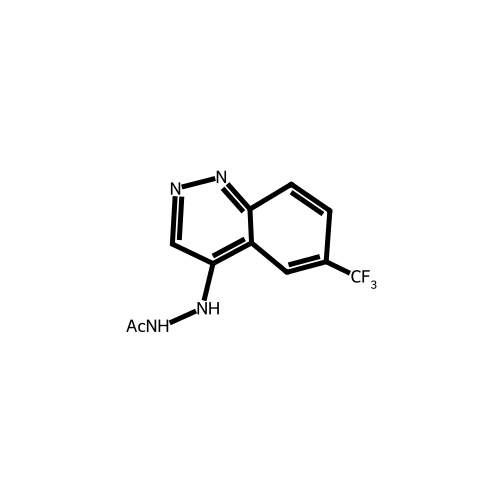 CC(=O)NNc1cnnc2ccc(C(F)(F)F)cc12